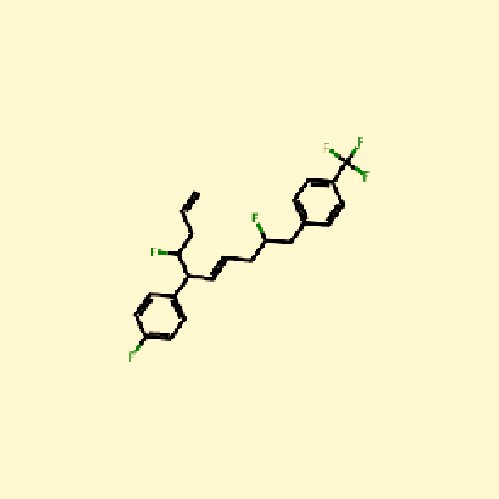 [CH]=CCC(F)C(C=CCC(F)Cc1ccc(C(F)(F)F)cc1)c1ccc(F)cc1